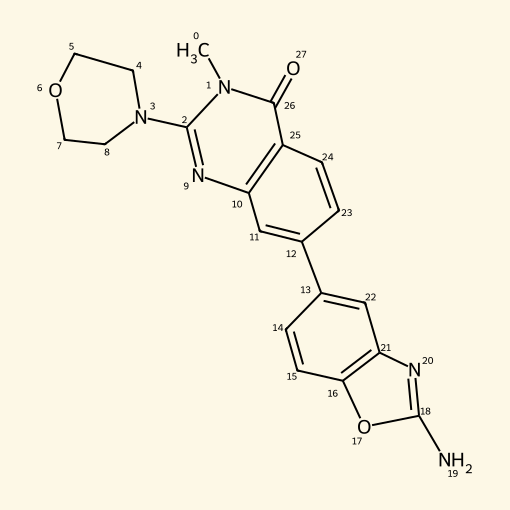 Cn1c(N2CCOCC2)nc2cc(-c3ccc4oc(N)nc4c3)ccc2c1=O